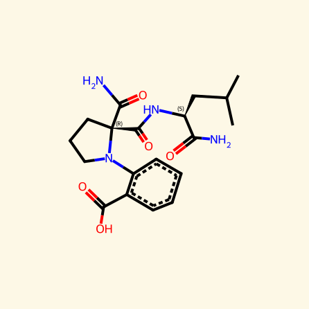 CC(C)C[C@H](NC(=O)[C@]1(C(N)=O)CCCN1c1ccccc1C(=O)O)C(N)=O